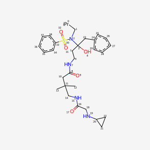 CC(C)CN(C(O)(CCNC(=O)CC(C)(C)CNC(=O)CNC1CC1)Cc1ccccc1)S(=O)(=O)c1ccccc1